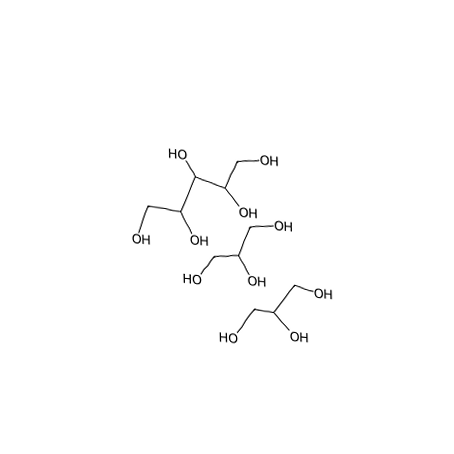 OCC(O)C(O)C(O)CO.OCC(O)CO.OCC(O)CO